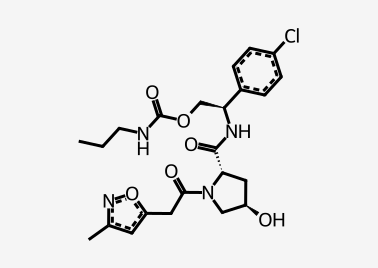 CCCNC(=O)OC[C@H](NC(=O)[C@@H]1C[C@@H](O)CN1C(=O)Cc1cc(C)no1)c1ccc(Cl)cc1